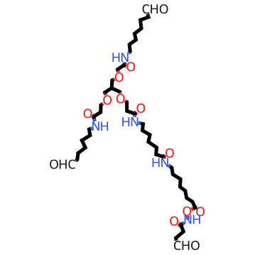 O=CCCCCCCCNC(=O)COCC(COCCC(=O)NCCCCCCC=O)COCCC(=O)NCCCCCCC(=O)NCCCCCCCC(=O)ONC(=O)CCC=O